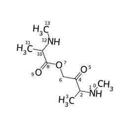 CNC(C)C(=O)COC(=O)C(C)NC